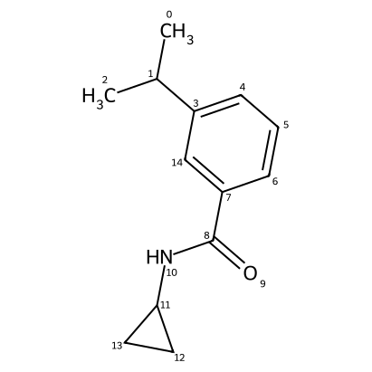 CC(C)c1cccc(C(=O)NC2CC2)c1